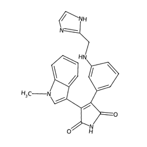 Cn1cc(C2=C(c3cccc(NCc4ncc[nH]4)c3)C(=O)NC2=O)c2ccccc21